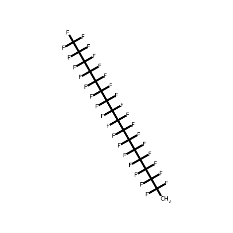 CC(F)(F)C(F)(F)C(F)(F)C(F)(F)C(F)(F)C(F)(F)C(F)(F)C(F)(F)C(F)(F)C(F)(F)C(F)(F)C(F)(F)C(F)(F)C(F)(F)C(F)(F)C(F)(F)F